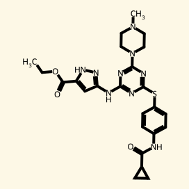 CCOC(=O)c1cc(Nc2nc(Sc3ccc(NC(=O)C4CC4)cc3)nc(N3CCN(C)CC3)n2)n[nH]1